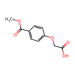 COC(=O)c1ccc(OCC(=O)O)cc1